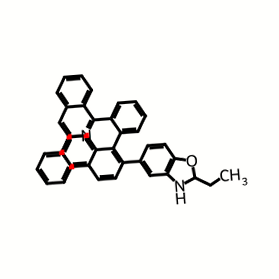 CCC1Nc2cc(-c3ccc4ccccc4c3-c3ccccc3-c3nc(-c4ccccc4)cc4ccccc34)ccc2O1